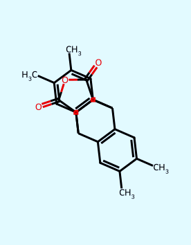 Cc1cc2c(cc1C)C1c3cc(C)c(C)cc3C2C2C(=O)OC(=O)C12